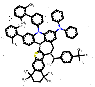 Cc1cccc(C)c1-c1cccc(N2c3cc(-c4c(C)cccc4C)ccc3B3c4sc5cc6c(cc5c4C(C(C)c4ccc(C(C)(C)C)cc4)Cc4cc(N(c5ccccc5)c5ccccc5)cc2c43)C(C)(C)CCC6(C)C)c1